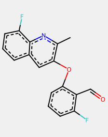 Cc1nc2c(F)cccc2cc1Oc1cccc(F)c1C=O